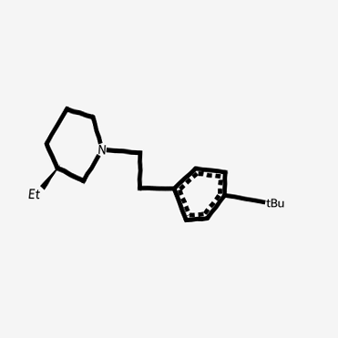 CC[C@H]1CCCN(CCc2ccc(C(C)(C)C)cc2)C1